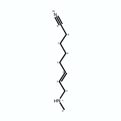 CNC/C=C/CCCCC#N